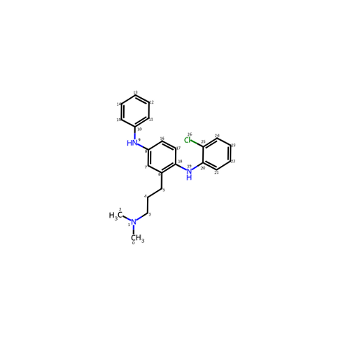 CN(C)CCCc1cc(Nc2ccccc2)ccc1Nc1ccccc1Cl